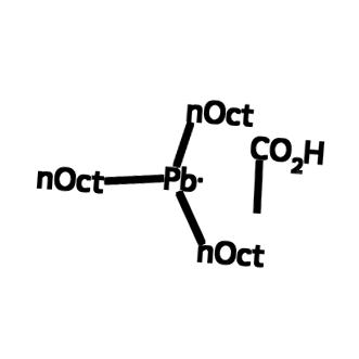 CC(=O)O.CCCCCCC[CH2][Pb]([CH2]CCCCCCC)[CH2]CCCCCCC